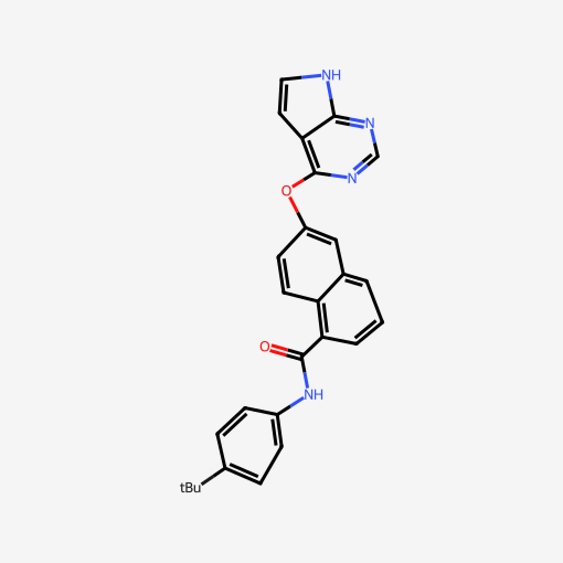 CC(C)(C)c1ccc(NC(=O)c2cccc3cc(Oc4ncnc5[nH]ccc45)ccc23)cc1